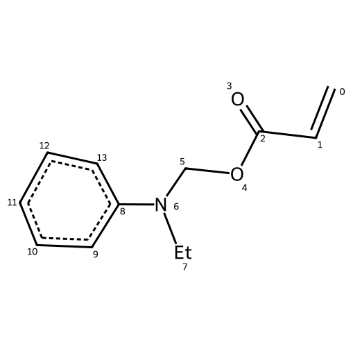 C=CC(=O)OCN(CC)c1ccccc1